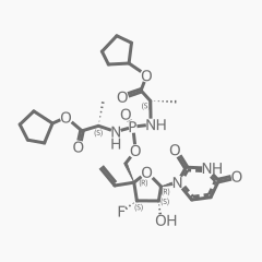 C=C[C@]1(COP(=O)(N[C@@H](C)C(=O)OC2CCCC2)N[C@@H](C)C(=O)OC2CCCC2)O[C@@H](n2ccc(=O)[nH]c2=O)[C@H](O)[C@@H]1F